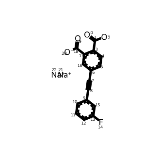 O=C([O-])c1ccc(C#Cc2cccc(F)c2)cc1C(=O)[O-].[Na+].[Na+]